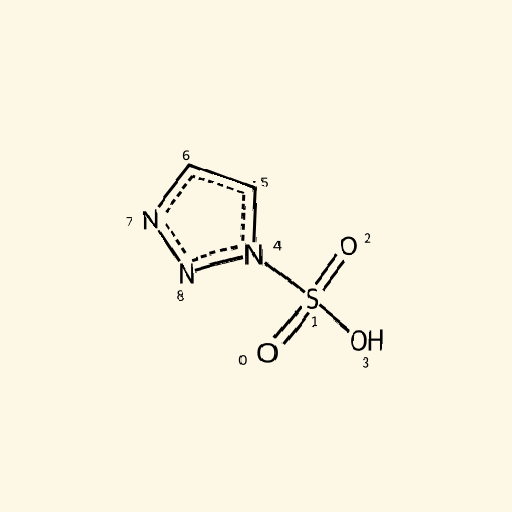 O=S(=O)(O)n1[c]cnn1